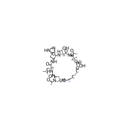 CC(=O)[C@H]1NC(=O)[C@H](CO)NC(=O)[C@H](Cc2cnc[nH]2)NC(=O)[C@H](CC(C)C)NC(=O)[C@@H]2C[C@H](CN2C(C)=O)O/C=C\CCCOP(=O)(O)O[C@@H]1C